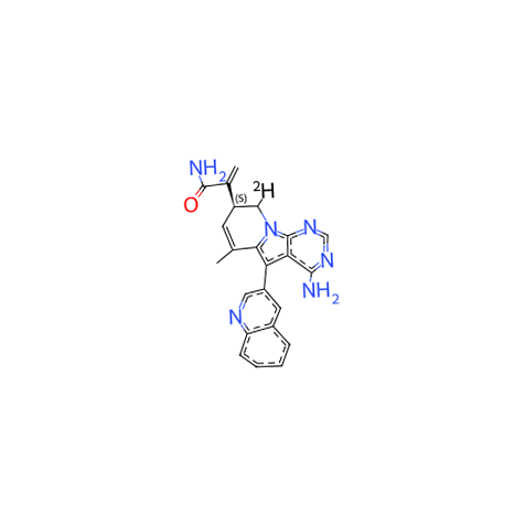 [2H]C1[C@H](C(=C)C(N)=O)C=C(C)c2c(-c3cnc4ccccc4c3)c3c(N)ncnc3n21